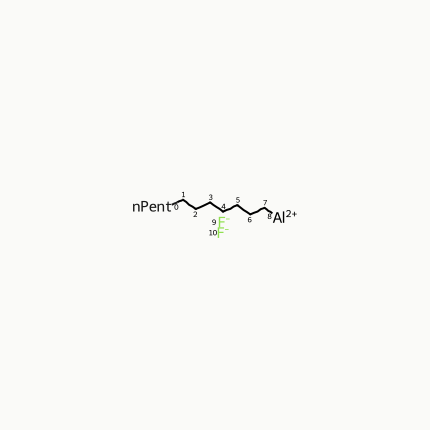 CCCCCCCCCCC[CH2][Al+2].[F-].[F-]